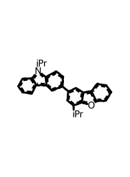 CC(C)c1cc(-c2ccc3c(c2)c2ccccc2n3C(C)C)cc2c1oc1ccccc12